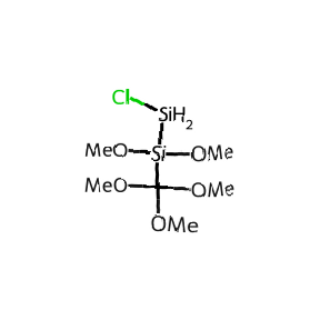 COC(OC)(OC)[Si](OC)(OC)[SiH2]Cl